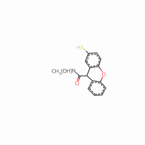 CN(O)C(=O)C1c2ccccc2Oc2ccc(S)cc21